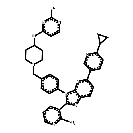 N#Cc1nccc(NC2CCN(Cc3ccc(-n4c(-c5cccnc5N)nc5ccc(-c6ccc(C7CC7)nc6)nc54)cc3)CC2)n1